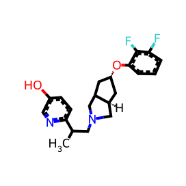 CC(CN1CC2C[C@H](Oc3cccc(F)c3F)C[C@H]2C1)c1ccc(O)cn1